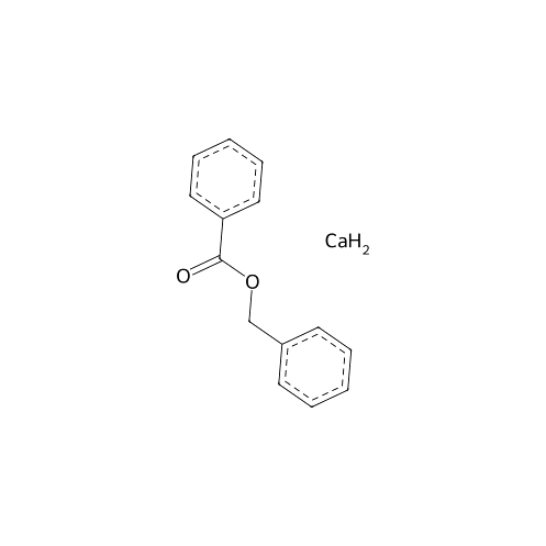 O=C(OCc1ccccc1)c1ccccc1.[CaH2]